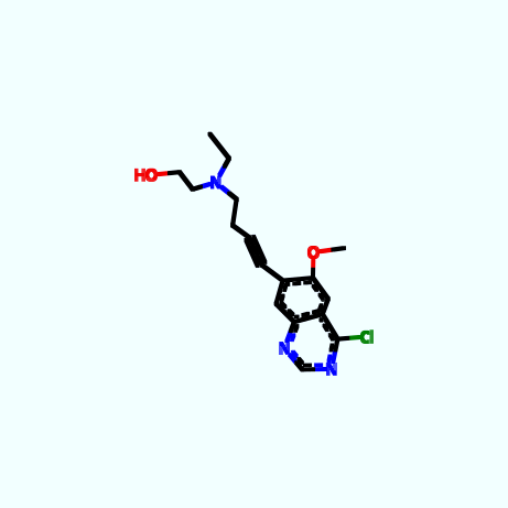 CCN(CCO)CCC#Cc1cc2ncnc(Cl)c2cc1OC